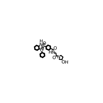 O=C(NCC(=O)N1CCC(O)C1)c1ccc(S(=O)(=O)Nc2ccccc2Oc2ccccc2)cc1